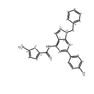 O=C(Nc1nc(-c2ccc(Cl)cc2)nc2c1cnn2Cc1ccccc1)c1ccc([N+](=O)[O-])s1